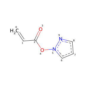 C=CC(=O)On1cccn1